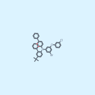 CC(C)(C)c1ccc(N(c2ccc(-c3ccccc3)cc2)c2cc(Br)cc(Oc3cccc(Cl)c3)c2)c(-c2ccccc2)c1